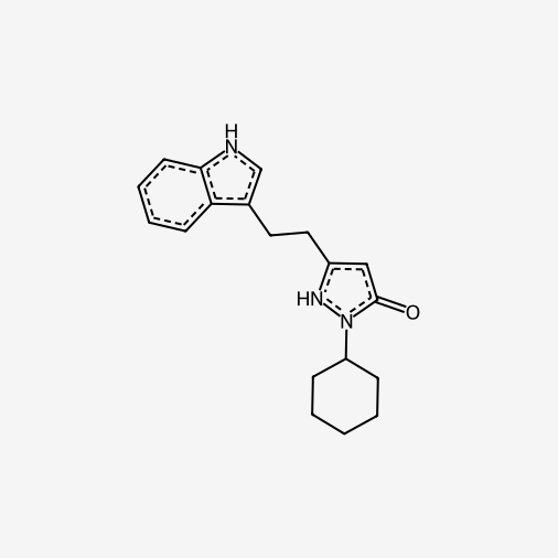 O=c1cc(CCc2c[nH]c3ccccc23)[nH]n1C1CCCCC1